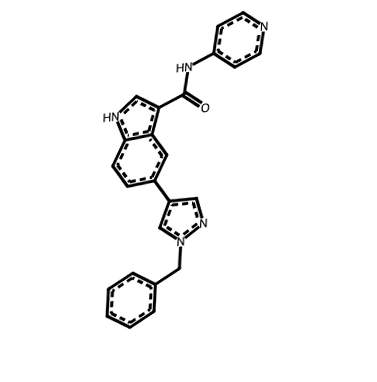 O=C(Nc1ccncc1)c1c[nH]c2ccc(-c3cnn(Cc4ccccc4)c3)cc12